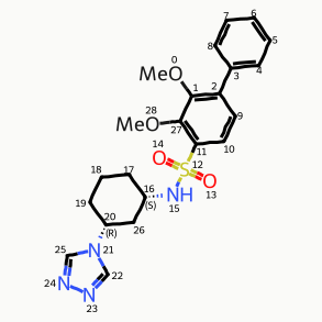 COc1c(-c2ccccc2)ccc(S(=O)(=O)N[C@H]2CCC[C@@H](n3cnnc3)C2)c1OC